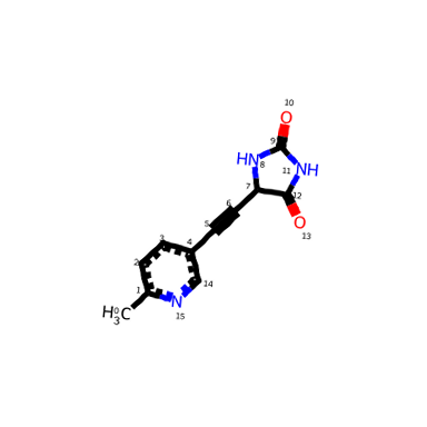 Cc1ccc(C#CC2NC(=O)NC2=O)cn1